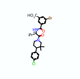 CC(C)[C@@H](NC(=O)c1cc(Br)cc(C(=O)O)c1)C(=O)N1CCC(c2ccc(Cl)cc2)C(C)(C)C1